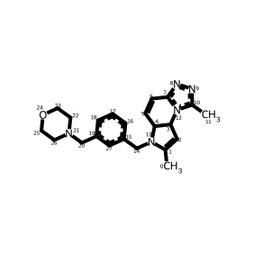 CC1=CC2C(C=Cc3nnc(C)n32)N1Cc1cccc(CN2CCOCC2)c1